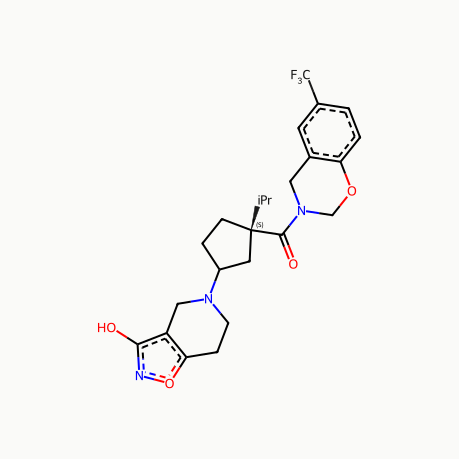 CC(C)[C@]1(C(=O)N2COc3ccc(C(F)(F)F)cc3C2)CCC(N2CCc3onc(O)c3C2)C1